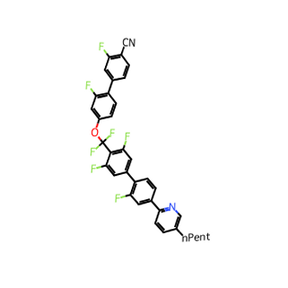 CCCCCc1ccc(-c2ccc(-c3cc(F)c(C(F)(F)Oc4ccc(-c5ccc(C#N)c(F)c5)c(F)c4)c(F)c3)c(F)c2)nc1